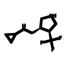 FC(F)(F)[C@@H]1CNC[C@H]1CNC1CC1